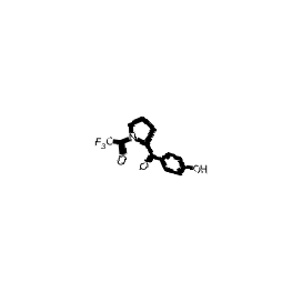 O=C(c1ccc(O)cc1)C1CCCN1C(=O)C(F)(F)F